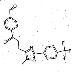 Cc1oc(-c2ccc(C(F)(F)F)cc2)nc1CCC(=O)c1ccc(C=O)cc1